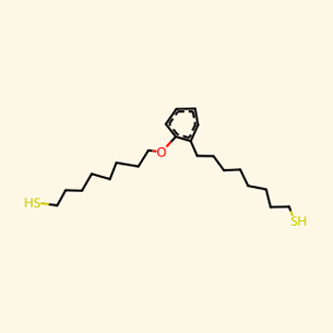 SCCCCCCCCOc1ccccc1CCCCCCCCS